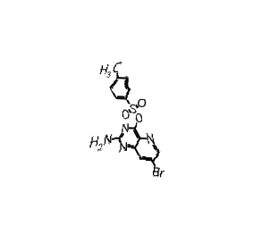 Cc1ccc(S(=O)(=O)Oc2nc(N)nc3cc(Br)cnc23)cc1